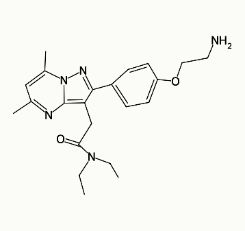 CCN(CC)C(=O)Cc1c(-c2ccc(OCCN)cc2)nn2c(C)cc(C)nc12